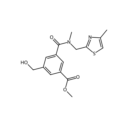 COC(=O)c1cc(CO)cc(C(=O)N(C)Cc2nc(C)cs2)c1